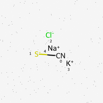 N#C[S-].[Cl-].[K+].[Na+]